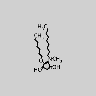 CCCCCCCCCN(C)[C@H]1[C@H](OCCCCCCC)[C@H](O)C[C@@H]1O